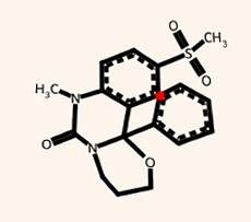 CN1C(=O)N2CCCOC2(c2ccccc2)c2cc(S(C)(=O)=O)ccc21